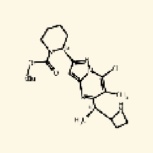 Cc1c([C@H](C)C2CCN2)nc2cc([C@@H]3CCCCN3C(=O)OC(C)(C)C)nn2c1Cl